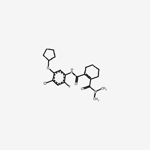 CN(C)C(=O)C1=C(C(=O)Nc2cc(OC3CCCC3)c(Cl)cc2F)CCCC1